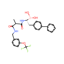 CC(C(=O)NCc1cccc(OC(F)(F)F)c1)C(=O)N[C@@H](Cc1ccc(-c2ccccc2)cc1)B(O)O